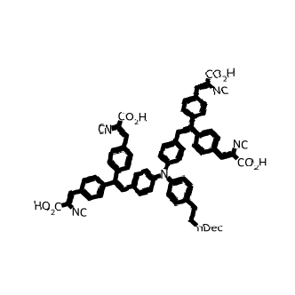 [C-]#[N+]/C(=C\c1ccc(C(=Cc2ccc(N(c3ccc(C=C(c4ccc(/C=C(\[N+]#[C-])C(=O)O)cc4)c4ccc(/C=C(\[N+]#[C-])C(=O)O)cc4)cc3)c3ccc(CCCCCCCCCCCC)cc3)cc2)c2ccc(/C=C(\[N+]#[C-])C(=O)O)cc2)cc1)C(=O)O